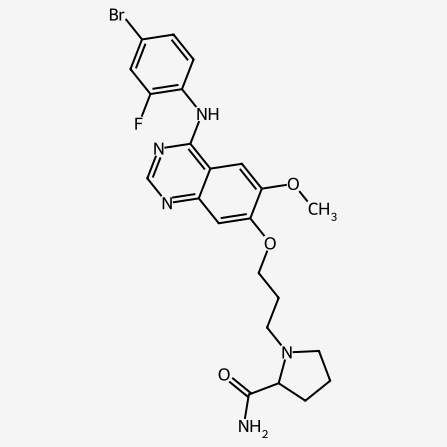 COc1cc2c(Nc3ccc(Br)cc3F)ncnc2cc1OCCCN1CCCC1C(N)=O